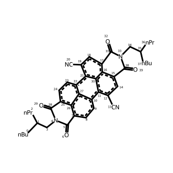 CCCCC(CCC)CN1C(=O)c2ccc3c4c(C#N)cc5c6c(cc(C#N)c(c7ccc(c2c37)C1=O)c64)C(=O)N(CC(CCC)CCCC)C5=O